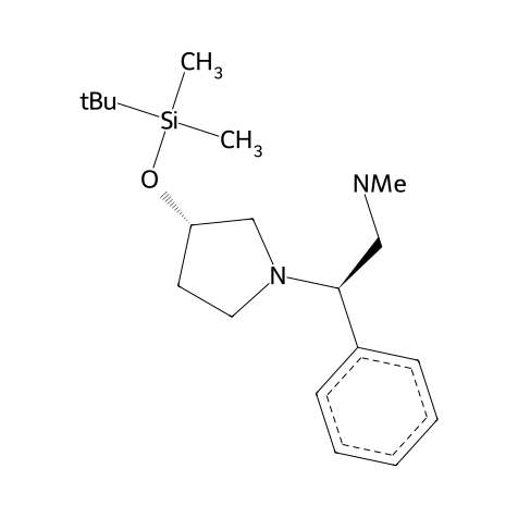 CNC[C@@H](c1ccccc1)N1CC[C@H](O[Si](C)(C)C(C)(C)C)C1